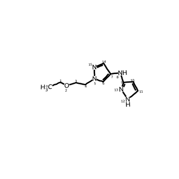 CCOCCn1cc(Nc2cc[nH]n2)cn1